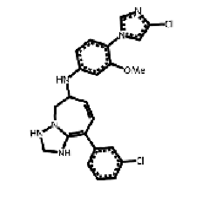 COc1cc(NC2C=CC(c3cccc(Cl)c3)=C3NCNN3C2)ccc1-n1cnc(Cl)c1